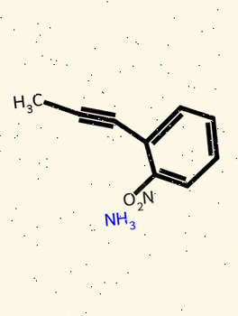 CC#Cc1ccccc1[N+](=O)[O-].N